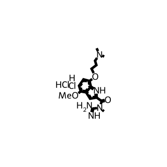 COc1ccc(OCCCN(C)C)c2[nH]c(C(=O)N(C)C(=N)N)cc12.Cl.Cl